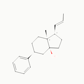 C[C@]12CC[C@H](c3ccccc3)C[C@@]1(O)CC[C@@H]2C=CC=O